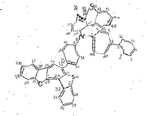 c1ccc(-c2ccc(N(c3ccc(-c4cc5c6ccccc6oc5c5c4sc4ccccc45)cc3)c3cccc4sc5ccccc5c34)cc2)cc1